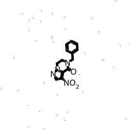 O=C1c2c([N+](=O)[O-])cnn2CCN1Cc1ccccc1